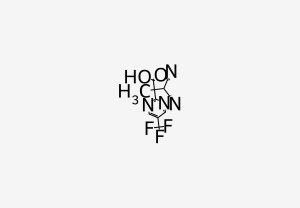 CC(C(=O)O)(c1ncc(C(F)(F)F)cn1)C(C#N)C#N